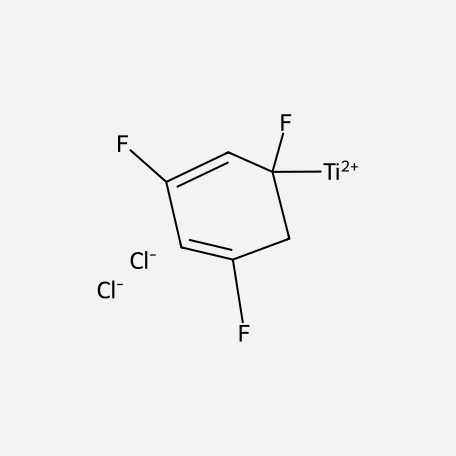 FC1=C[C](F)([Ti+2])CC(F)=C1.[Cl-].[Cl-]